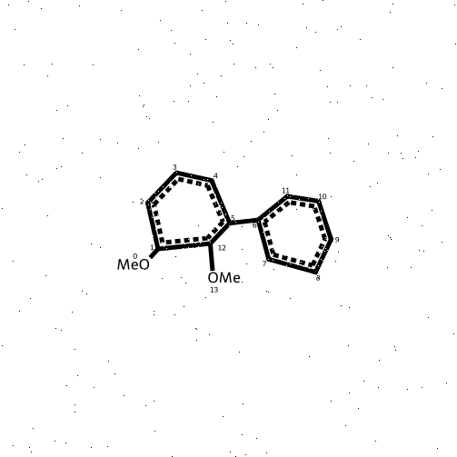 COc1[c]ccc(-c2ccccc2)c1OC